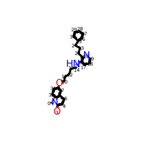 Cn1c(=O)ccc2cc(OCCCCCNc3cccnc3CCCc3ccccc3)ccc21